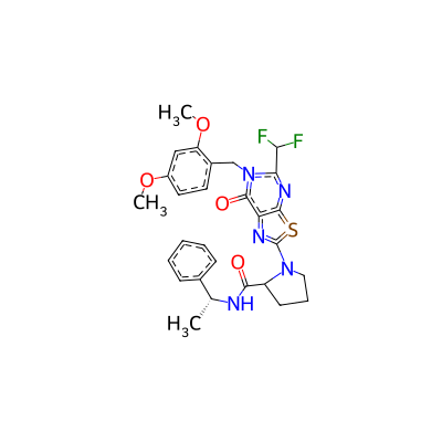 COc1ccc(Cn2c(C(F)F)nc3sc(N4CCCC4C(=O)N[C@H](C)c4ccccc4)nc3c2=O)c(OC)c1